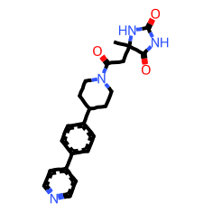 CC1(CC(=O)N2CCC(c3ccc(-c4ccncc4)cc3)CC2)NC(=O)NC1=O